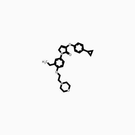 CCc1cc(N2CC=C(Oc3ccc(C4CC4)cc3)C2=O)ccc1OCCN1CCOCC1